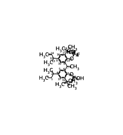 CCC(C)c1cc(C(C)c2cc(C(C)CC)cc(C(C)(C)C)c2OP(O)F)c(OP(O)F)c(C(C)(C)C)c1